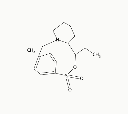 C.CCC1OS(=O)(=O)c2ccc(cc2)CN2CCCCC12